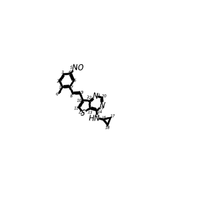 Cc1ccc(N=O)cc1/C=C/c1csc2c(NC3CC3)ncnc12